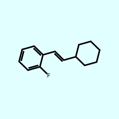 Fc1ccccc1C=CC1CCCCC1